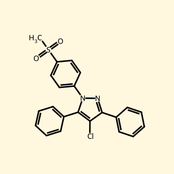 CS(=O)(=O)c1ccc(-n2nc(-c3ccccc3)c(Cl)c2-c2ccccc2)cc1